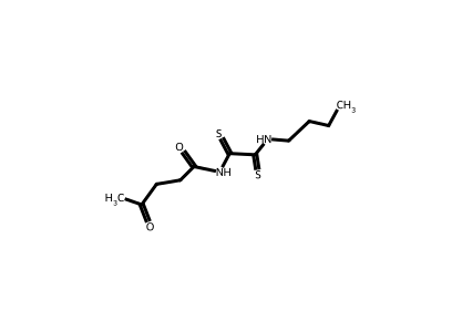 CCCCNC(=S)C(=S)NC(=O)CCC(C)=O